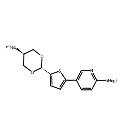 CCCCCCCc1ccc(-c2ccc([C@H]3OC[C@H](CCCCCC)CO3)s2)cn1